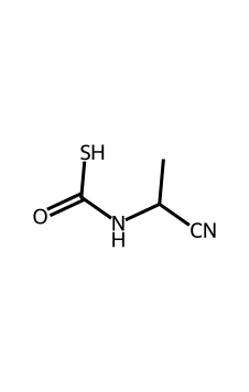 CC(C#N)NC(=O)S